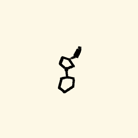 N#C[C@H]1CCN(C2CCCCC2)C1